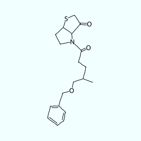 CC(CCC(=O)N1CCC2SCC(=O)C21)COCc1ccccc1